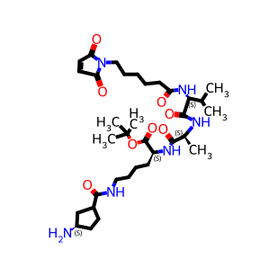 CC(C)[C@H](NC(=O)CCCCCN1C(=O)C=CC1=O)C(=O)N[C@@H](C)C(=O)N[C@@H](CCCCNC(=O)C1CC[C@H](N)C1)C(=O)OC(C)(C)C